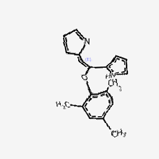 Cc1cc(C)c(O/C(=C2\C=CC=N2)c2ccc[nH]2)c(C)c1